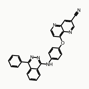 N#Cc1cnc2c(Oc3ccc(Nc4nnc(-c5ccccc5)c5ccccc45)cc3)ccnc2c1